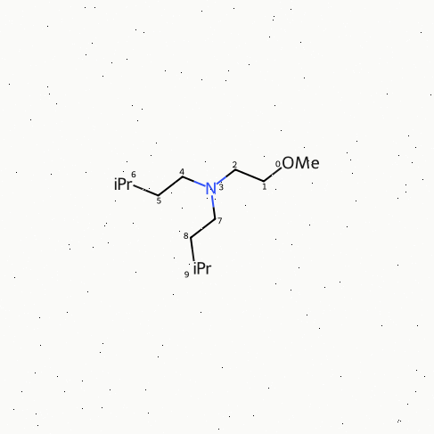 COCCN(CCC(C)C)CCC(C)C